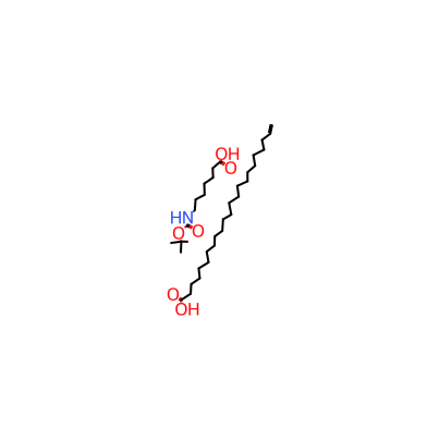 C=CCCCCCCCCCCCCCCCCCCCCC(=O)O.CC(C)(C)OC(=O)NCCCCCCC(=O)O